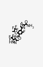 Cc1n[nH]c(C(F)(F)F)c1NC(=O)c1cc(F)c(-c2cn(C)c(C(N)=O)n2)cc1OC(C)C(F)(F)F